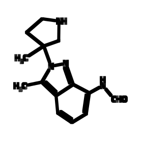 Cc1c2cccc(NC=O)c2nn1C1(C)CCNC1